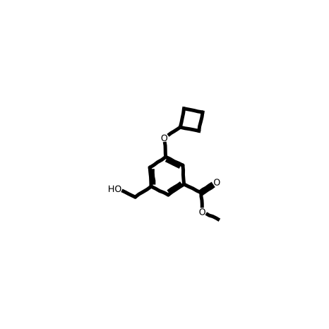 COC(=O)c1cc(CO)cc(OC2CCC2)c1